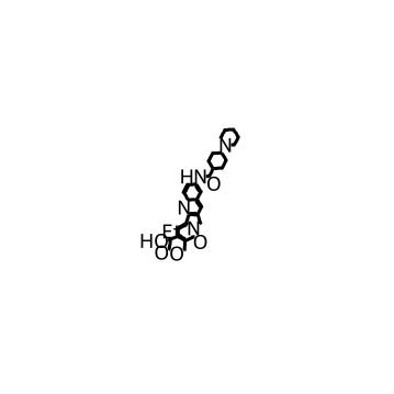 CCC1(O)C(=O)OCc2c1cc1n(c2=O)Cc2cc3cc(NC(=O)C4CCC(N5CCCCC5)CC4)ccc3nc2-1